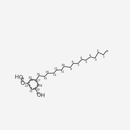 CCCCCCCCCCCCCCCCCc1cc(O)cc(OO)c1